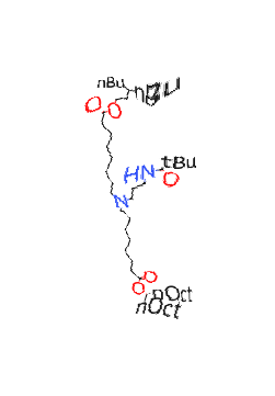 CCCCCCCCC(CCCCCCCC)OC(=O)CCCCCCCN(CCCCCCCC(=O)OCCC(CCCC)CCCC)CCCNC(=O)C(C)(C)C